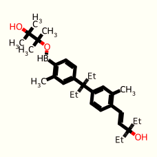 CCC(O)(/C=C/c1ccc(C(CC)(CC)c2ccc(BOC(C)(C)C(C)(C)O)c(C)c2)cc1C)CC